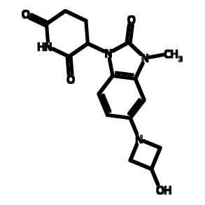 Cn1c(=O)n(C2CCC(=O)NC2=O)c2ccc(N3CC(O)C3)cc21